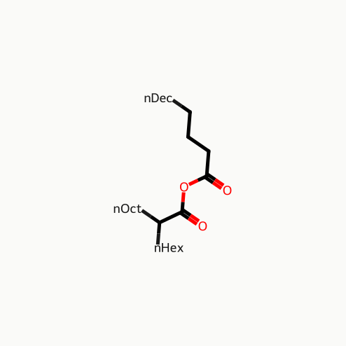 CCCCCCCCCCCCCC(=O)OC(=O)C(CCCCCC)CCCCCCCC